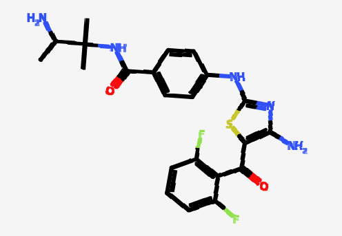 CC(N)C(C)(C)NC(=O)c1ccc(Nc2nc(N)c(C(=O)c3c(F)cccc3F)s2)cc1